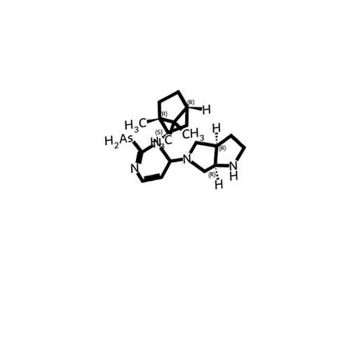 CC1(C)[C@@H]2CC[C@@]1(C)[C@@H](N1C([AsH2])=NC=CC1N1C[C@H]3CCN[C@H]3C1)C2